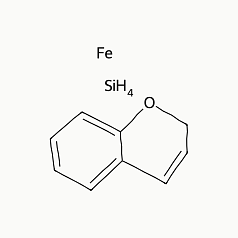 C1=Cc2ccccc2OC1.[Fe].[SiH4]